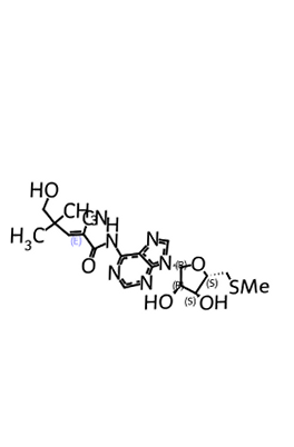 CSC[C@H]1O[C@@H](n2cnc3c(NC(=O)/C(C#N)=C/C(C)(C)CO)ncnc32)[C@H](O)[C@@H]1O